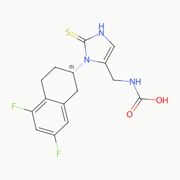 O=C(O)NCc1c[nH]c(=S)n1[C@H]1CCc2c(F)cc(F)cc2C1